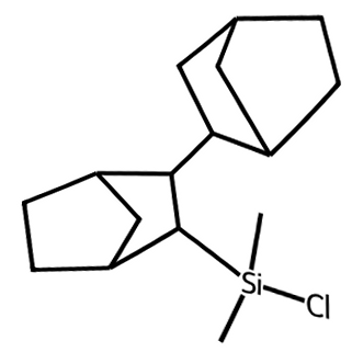 C[Si](C)(Cl)C1C2CCC(C2)C1C1CC2CCC1C2